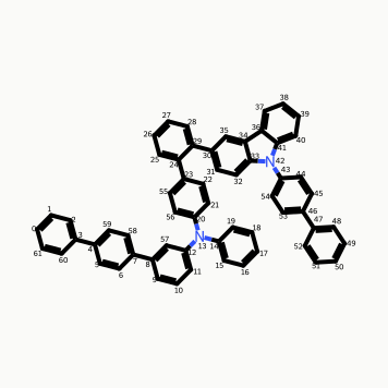 c1ccc(-c2ccc(-c3cccc(N(c4ccccc4)c4ccc(-c5ccccc5-c5ccc6c(c5)c5ccccc5n6-c5ccc(-c6ccccc6)cc5)cc4)c3)cc2)cc1